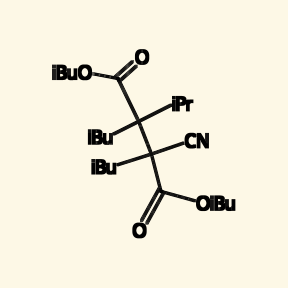 CCC(C)C(C#N)(C(=O)OCC(C)C)C(C(=O)OCC(C)C)(C(C)C)C(C)CC